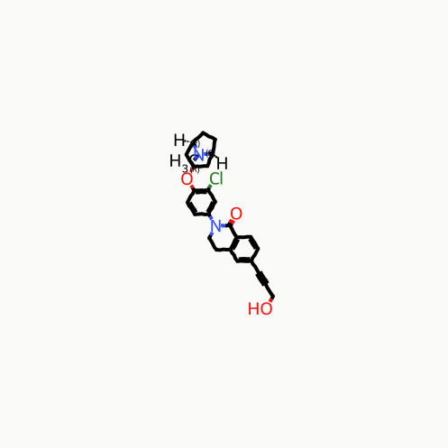 CN1[C@@H]2CC[C@H]1C[C@@H](Oc1ccc(N3CCc4cc(C#CCO)ccc4C3=O)cc1Cl)C2